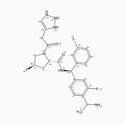 CC(N)c1ccc([C@@H](NC(=O)[C@@H]2C[C@@H](F)CN2C(=O)CC2=CNNN2)c2cccc(F)c2)cc1F